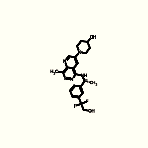 Cc1nnc(N[C@H](C)c2cccc(C(F)(F)CO)c2)c2cc(N3CCC(O)CC3)cnc12